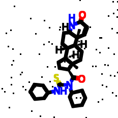 C[C@]12C=CC(=O)N[C@@H]1CC[C@@H]1[C@@H]2CC[C@]2(C)[C@@H](C(=O)N(C(=S)NC3CCCCC3)C3CCCCC3)CC[C@@H]12